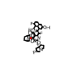 C#Cc1c(F)ccc2cc(O)cc(-c3nc(Cl)c4c(N5CC6CCC(C5)N6C(=O)C(F)(F)F)nc(OC[C@]56CCCN5C[C@@H](F)C6)nc4c3F)c12